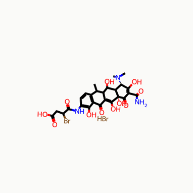 Br.CC1c2ccc(NC(=O)C(Br)CC(=O)O)c(O)c2C(=O)C2=C(O)[C@]3(O)C(=O)C(C(N)=O)=C(O)[C@@H](N(C)C)C3C(O)C21